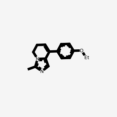 CCOc1ccc(C2=CCCn3c2cnc3C)cc1